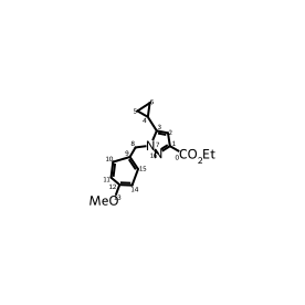 CCOC(=O)c1cc(C2CC2)n(Cc2ccc(OC)cc2)n1